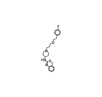 Fc1ccc(CCOCCCN2CCC(NC3=Nc4ccccc4CS3)CC2)cc1